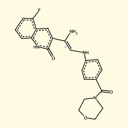 N/C(=C\Nc1ccc(C(=O)N2CCOCC2)cc1)c1cc2c(F)cccc2[nH]c1=O